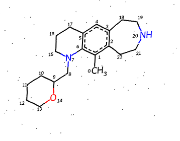 Cc1c2c(cc3c1N(CC1CCCCO1)CCC3)CCNCC2